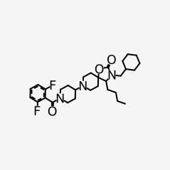 CCCCC1N(CC2CCCCC2)C(=O)OC12CCN(C1CCN(C(=O)c3c(F)cccc3F)CC1)CC2